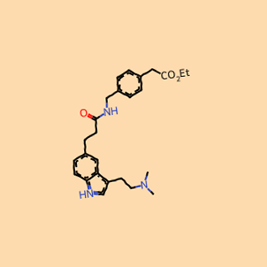 CCOC(=O)Cc1ccc(CNC(=O)CCc2ccc3[nH]cc(CCN(C)C)c3c2)cc1